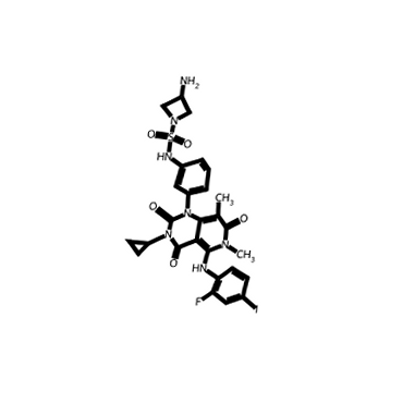 Cc1c(=O)n(C)c(Nc2ccc(I)cc2F)c2c(=O)n(C3CC3)c(=O)n(-c3cccc(NS(=O)(=O)N4CC(N)C4)c3)c12